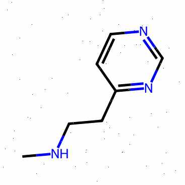 CNCCc1ccncn1